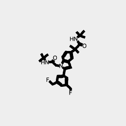 CC(C)(C)NC(=O)Cn1c(-c2cc(CF)cc(CF)c2)cc2cc(C(C)(C)C(=O)NC(C)(C)C)ccc21